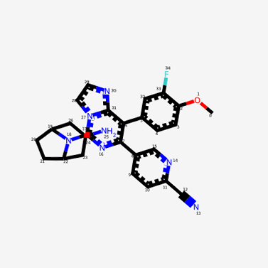 COc1ccc(-c2c(-c3ccc(C#N)nc3)nc(N3C4CCC3CC(N)C4)n3ccnc23)cc1F